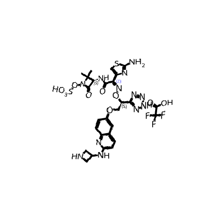 CC1(C)[C@H](NC(=O)/C(=N\O[C@H](COc2ccc3nc(NC4CNC4)ccc3c2)c2nn[nH]n2)c2csc(N)n2)C(=O)N1OS(=O)(=O)O.O=C(O)C(F)(F)F